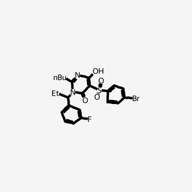 CCCCc1nc(O)c(S(=O)(=O)c2ccc(Br)cc2)c(=O)n1C(CC)c1cccc(F)c1